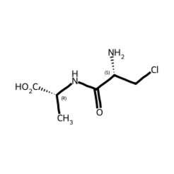 C[C@@H](NC(=O)[C@H](N)CCl)C(=O)O